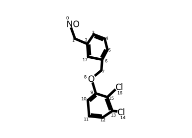 O=NCc1cccc(COc2cccc(Cl)c2Cl)c1